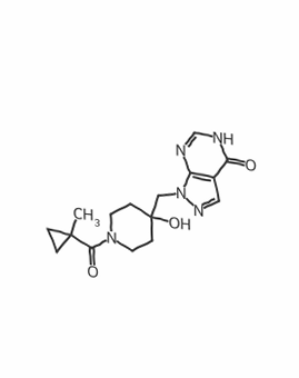 CC1(C(=O)N2CCC(O)(Cn3ncc4c(=O)[nH]cnc43)CC2)CC1